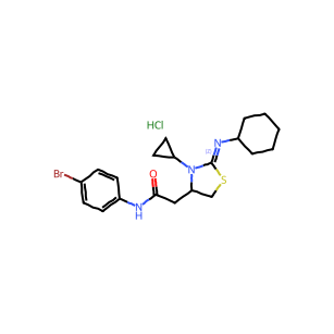 Cl.O=C(CC1CS/C(=N\C2CCCCC2)N1C1CC1)Nc1ccc(Br)cc1